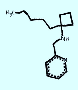 CCCCCC1(NCc2ccccn2)CCC1